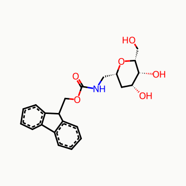 O=C(NC[C@H]1C[C@@H](O)[C@@H](O)[C@@H](CO)O1)OCC1c2ccccc2-c2ccccc21